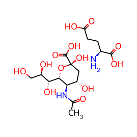 CC(=O)N[C@H]1[C@H]([C@H](O)[C@H](O)CO)O[C@](O)(C(=O)O)C[C@@H]1O.N[C@@H](CCC(=O)O)C(=O)O